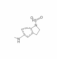 CNc1ccc2c(c1)CCN2[SH](=O)=O